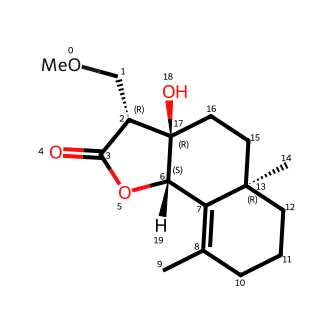 COC[C@H]1C(=O)O[C@H]2C3=C(C)CCC[C@]3(C)CC[C@@]12O